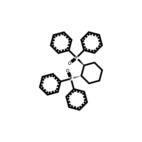 O=P(c1ccccc1)(c1ccccc1)[C@H]1CCCC[C@@H]1P(=O)(c1ccccc1)c1ccccc1